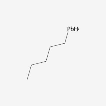 CCCC[CH2][PbH]